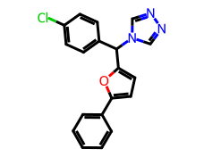 Clc1ccc(C(c2ccc(-c3ccccc3)o2)n2cnnc2)cc1